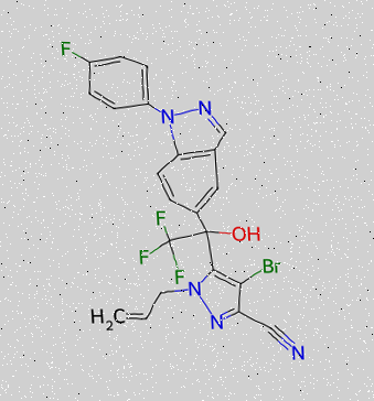 C=CCn1nc(C#N)c(Br)c1C(O)(c1ccc2c(cnn2-c2ccc(F)cc2)c1)C(F)(F)F